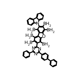 Bc1c(-n2c3ccccc3c3ccccc32)c(B)c2c(oc3c(B)c(-c4nc(-c5ccccc5)nc(-c5ccc(-c6ccccc6)cc5)n4)c(B)c(B)c32)c1B